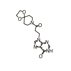 O=C(CCn1cnc2c(=O)[nH]cnc21)N1CCC2(CC1)OCCO2